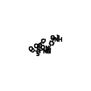 O=C(NC1CC1)c1ccc(-c2csc(NC(=O)C3CSC(C4CCOC4)N3C(=O)OCc3ccccc3)n2)cc1